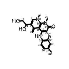 C=C1C([C@@H](O)CO)=CN(C)c2c1c(Nc1ccc(I)cc1F)cc(=O)n2C